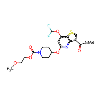 CNC(=O)c1csc2c(OC(F)F)cc(OC3CCN(C(=O)OCCOC(F)(F)F)CC3)nc12